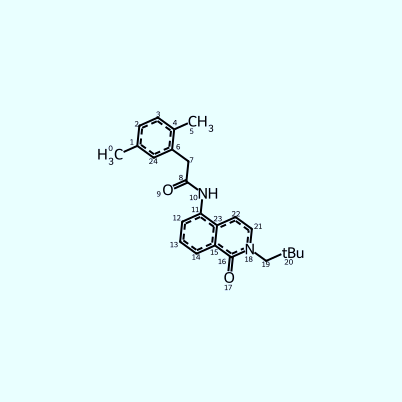 Cc1ccc(C)c(CC(=O)Nc2cccc3c(=O)n(CC(C)(C)C)ccc23)c1